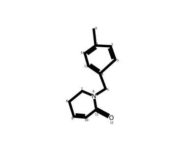 Cc1ccc(CN2CCC=CC2=O)cc1